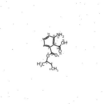 CCC(C)OC(=O)c1cccc(N)c1C(=O)O